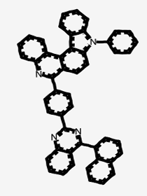 c1ccc(-n2c3ccccc3c3c4c(ccc32)c(-c2ccc(-c3nc(-c5cccc6ccccc56)c5ccccc5n3)cc2)nc2ccccc24)cc1